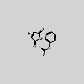 CC(=O)Oc1ccccc1.O=C1C=CC(=O)N1.[Hg]